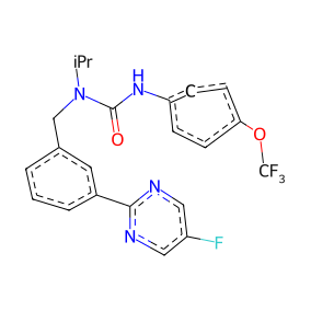 CC(C)N(Cc1cccc(-c2ncc(F)cn2)c1)C(=O)Nc1ccc(OC(F)(F)F)cc1